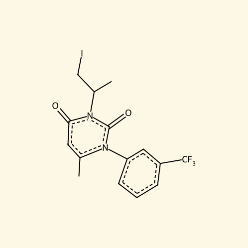 Cc1cc(=O)n(C(C)CI)c(=O)n1-c1cccc(C(F)(F)F)c1